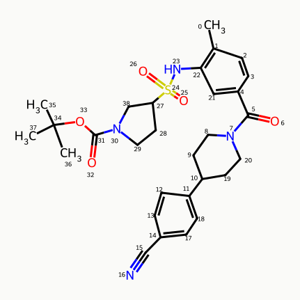 Cc1ccc(C(=O)N2CCC(c3ccc(C#N)cc3)CC2)cc1NS(=O)(=O)C1CCN(C(=O)OC(C)(C)C)C1